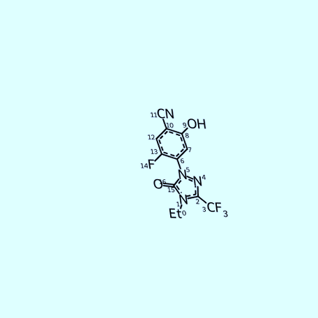 CCn1c(C(F)(F)F)nn(-c2cc(O)c(C#N)cc2F)c1=O